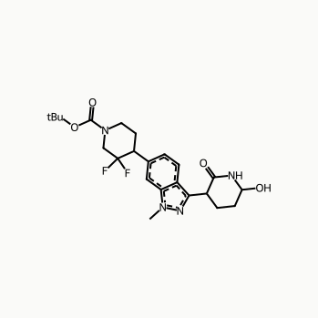 Cn1nc(C2CCC(O)NC2=O)c2ccc(C3CCN(C(=O)OC(C)(C)C)CC3(F)F)cc21